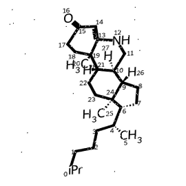 CC(C)CCC[C@@H](C)[C@H]1CC[C@H]2[C@@H]3CNC4=CC(=O)CC[C@]4(C)[C@H]3CC[C@]12C